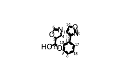 O=C(O)C1CN=CO1.c1ccc(-c2ccon2)cc1